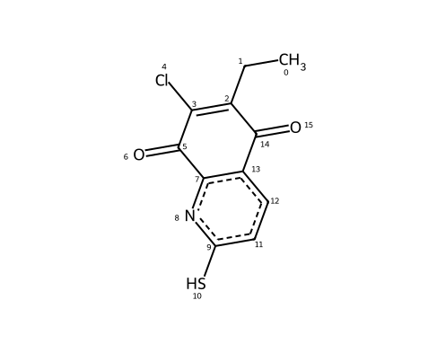 CCC1=C(Cl)C(=O)c2nc(S)ccc2C1=O